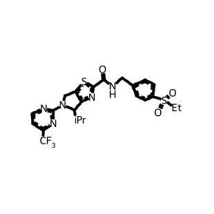 CCS(=O)(=O)c1ccc(CNC(=O)c2nc3c(s2)CN(c2nccc(C(F)(F)F)n2)C3C(C)C)cc1